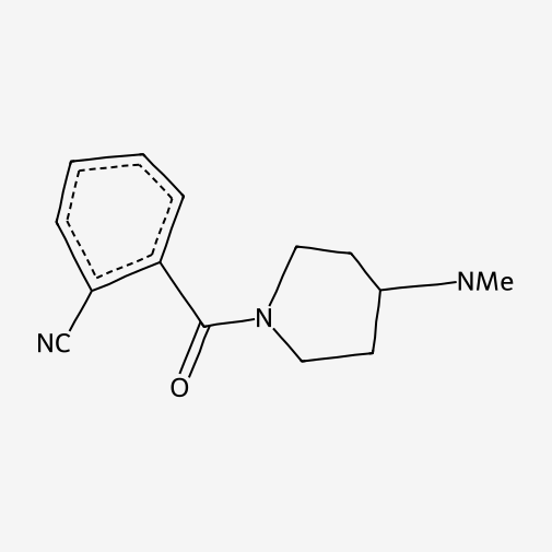 CNC1CCN(C(=O)c2ccccc2C#N)CC1